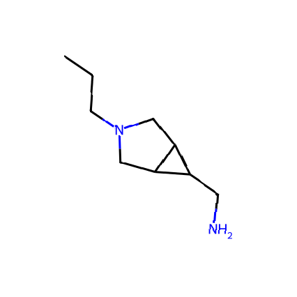 CCCN1CC2C(CN)C2C1